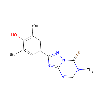 Cn1cnc2nc(-c3cc(C(C)(C)C)c(O)c(C(C)(C)C)c3)nn2c1=S